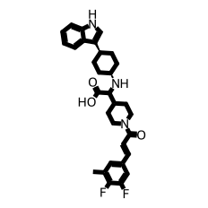 Cc1cc(/C=C/C(=O)N2CCC(C(N[C@H]3CC[C@H](c4c[nH]c5ccccc54)CC3)C(=O)O)CC2)cc(F)c1F